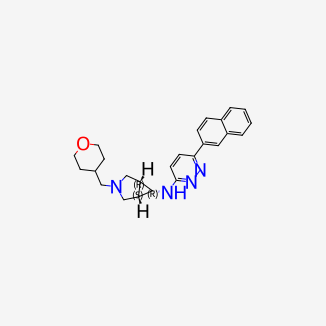 c1ccc2cc(-c3ccc(N[C@@H]4[C@@H]5CN(CC6CCOCC6)C[C@@H]54)nn3)ccc2c1